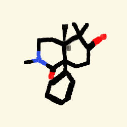 CN1CC[C@H]2C(C)(C)C(=O)CCC2(c2ccccc2)C1=O